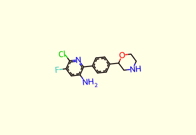 Nc1cc(F)c(Cl)nc1-c1ccc(C2CNCCO2)cc1